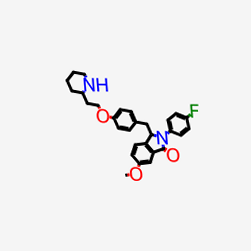 COc1ccc2c(c1)C(=O)N(c1ccc(F)cc1)C2Cc1ccc(OCCC2CCCCN2)cc1